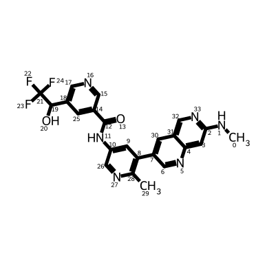 CNc1cc2ncc(-c3cc(NC(=O)c4cncc(C(O)C(F)(F)F)c4)cnc3C)cc2cn1